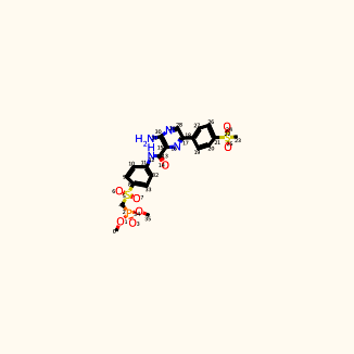 COP(=O)(CS(=O)(=O)c1ccc(NC(=O)c2nc(-c3ccc(S(C)(=O)=O)cc3)cnc2N)cc1)OC